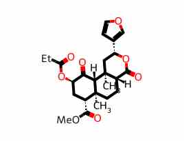 CCC(=O)O[C@@H]1C[C@@H](C(=O)OC)[C@]2(C)CC[C@H]3C(=O)O[C@@H](c4ccoc4)C[C@]3(C)[C@H]2C1=O